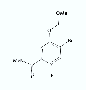 CNC(=O)c1cc(OCOC)c(Br)cc1F